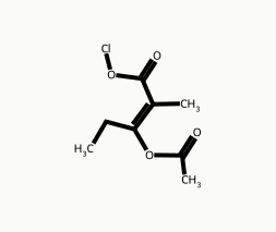 CCC(OC(C)=O)=C(C)C(=O)OCl